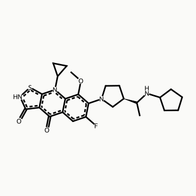 COc1c(N2CC[C@@H](C(C)NC3CCCC3)C2)c(F)cc2c(=O)c3c(=O)[nH]sc3n(C3CC3)c12